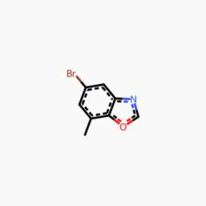 Cc1cc(Br)cc2ncoc12